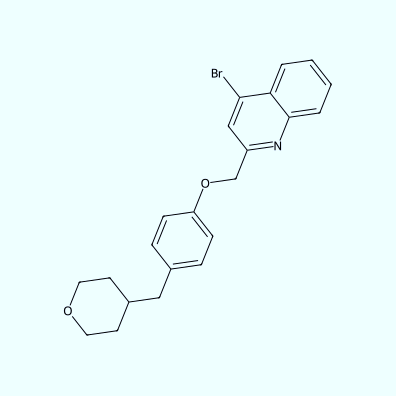 Brc1cc(COc2ccc(CC3CCOCC3)cc2)nc2ccccc12